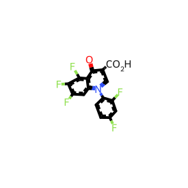 O=C(O)c1cn(-c2ccc(F)cc2F)c2cc(F)c(F)c(F)c2c1=O